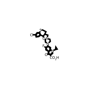 O=C(O)c1cn(C2CC2)c2cc(N3CCN(CC4CCSc5cc(Cl)ccc5C4=O)CC3)c(F)cc2c1=O